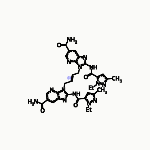 CCn1nc(C)cc1C(=O)Nc1nc2cc(C(N)=O)cnc2n1C/C=C/Cn1c(NC(=O)c2cc(C)nn2CC)nc2cc(C(N)=O)cnc21